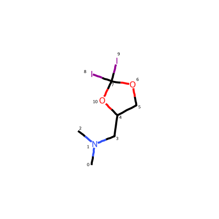 CN(C)CC1COC(I)(I)O1